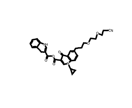 N#CCCOCCOCCCc1ccc2c(c1)c(=O)c(C(=O)OC(=O)C1=CNc3ccccc3C1)cn2C1CC1